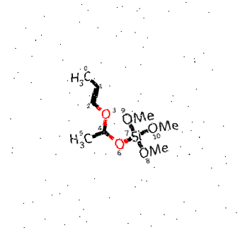 CC=COC(C)O[Si](OC)(OC)OC